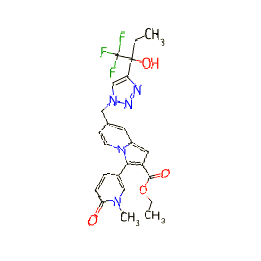 CCOC(=O)c1cc2cc(Cn3cc(C(O)(CC)C(F)(F)F)nn3)ccn2c1-c1ccc(=O)n(C)c1